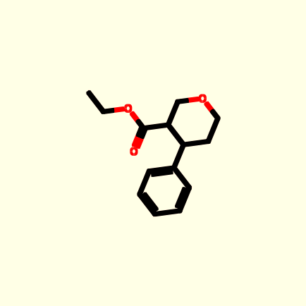 CCOC(=O)C1COCCC1c1ccccc1